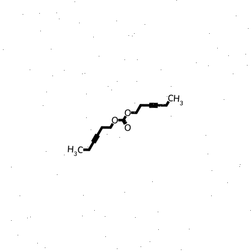 CCC#CCCOC(=O)OCCC#CCC